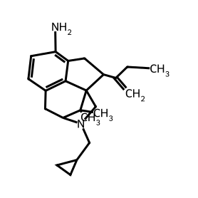 C=C(CC)C1Cc2c(N)ccc3c2C12CN(CC1CC1)C(C3)C2(C)C